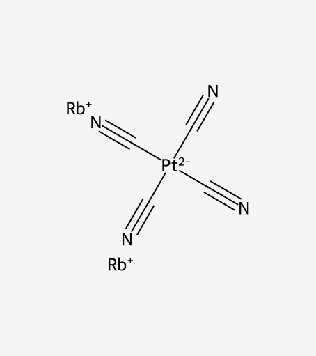 N#[C][Pt-2]([C]#N)([C]#N)[C]#N.[Rb+].[Rb+]